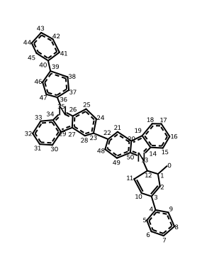 CC1C=C(c2ccccc2)C=CC1n1c2ccccc2c2cc(-c3ccc4c(c3)c3ccccc3n4-c3ccc(-c4ccccc4)cc3)ccc21